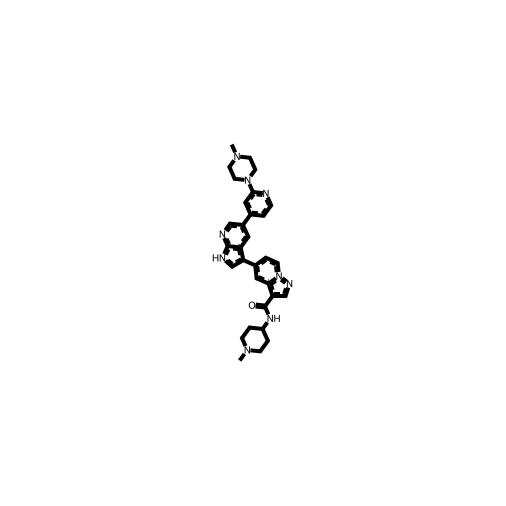 CN1CCC(NC(=O)c2cnn3ccc(-c4c[nH]c5ncc(-c6ccnc(N7CCN(C)CC7)c6)cc45)cc23)CC1